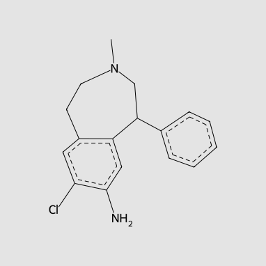 CN1CCc2cc(Cl)c(N)cc2C(c2ccccc2)C1